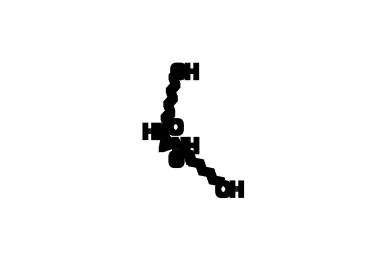 O=C(/C=C/CCCCCO)N[C@H]1C[C@H]1NC(=O)/C=C/CCCCCO